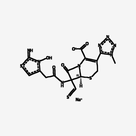 Cn1nnnc1C1=C(C(=O)[O-])N2C(=O)C(C=S)(NC(=O)Cc3csc(=N)n3O)[C@@H]2SC1.[Na+]